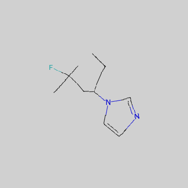 CCC(CC(C)(C)F)n1ccnc1